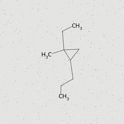 CCC[C]1CC1(C)CC